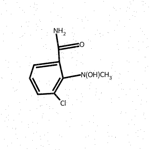 CN(O)c1c(Cl)cccc1C(N)=O